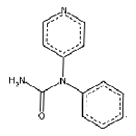 NC(=O)N(c1cc[c]cc1)c1ccncc1